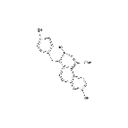 COc1cc(O)c(Cc2ccc(O)cc2)c2ccc3cc(O)ccc3c12